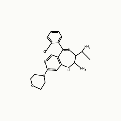 CC(N)C1N=C(c2ccccc2Cl)c2cnc(N3CCOCC3)cc2NC1N